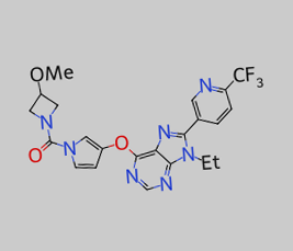 CCn1c(-c2ccc(C(F)(F)F)nc2)nc2c(Oc3ccn(C(=O)N4CC(OC)C4)c3)ncnc21